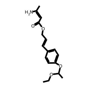 CCOC(C)Oc1ccc(C=CCOC(=O)C=C(C)N)cc1